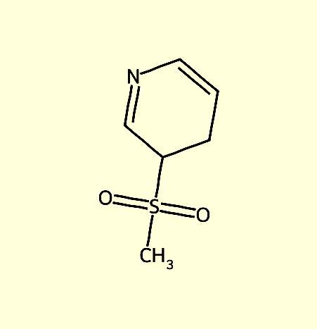 CS(=O)(=O)C1C=NC=CC1